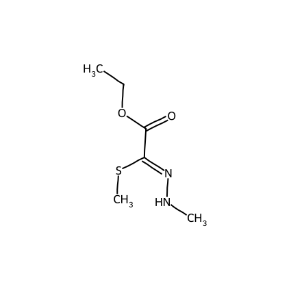 CCOC(=O)C(=NNC)SC